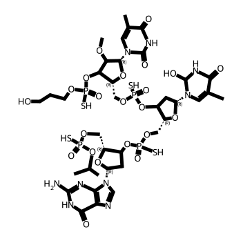 COC1C(OP(=O)(S)OCCCO)[C@@H](COP(=O)(S)OC2C[C@H](N3C=C(C)C(=O)NC3O)O[C@@H]2COP(=O)(S)OC2C[C@H](n3cnc4c(=O)[nH]c(N)nc43)O[C@@H]2COP(=O)(S)OC(C)C)O[C@H]1n1cc(C)c(=O)[nH]c1=O